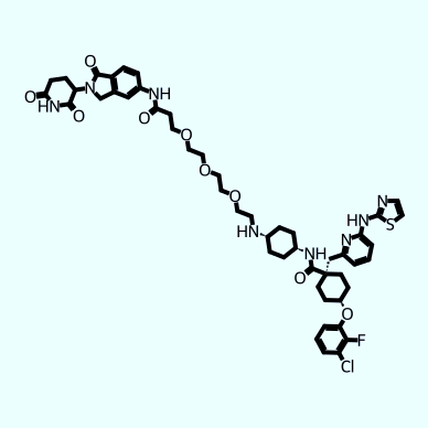 O=C1CCC(N2Cc3cc(NC(=O)CCOCCOCCOCCN[C@H]4CC[C@@H](NC(=O)[C@]5(Cc6cccc(Nc7nccs7)n6)CC[C@@H](Oc6cccc(Cl)c6F)CC5)CC4)ccc3C2=O)C(=O)N1